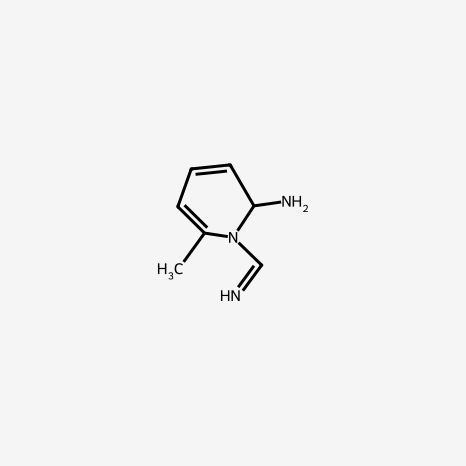 CC1=CC=CC(N)N1C=N